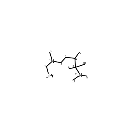 CC(C)CN(C)CCC(C)C(C)(C)N(C)C